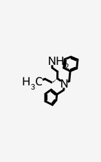 CCC[C@H](CCN)N(Cc1ccccc1)Cc1ccccc1